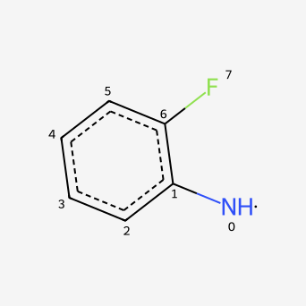 [NH]c1ccccc1F